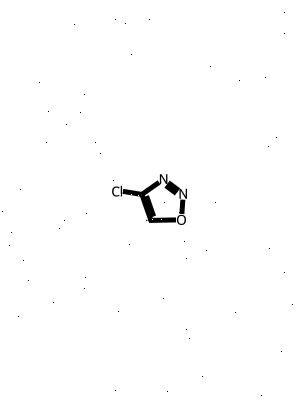 Clc1[c]onn1